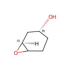 O[C@@H]1CCC2O[C@H]2C1